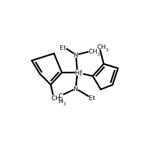 CC[N](C)[Hf]([C]1=C(C)C=CC1)([C]1=C(C)C=CC1)[N](C)CC